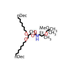 CCCCCCCCCCCCCCCCCCOCC(OCCCCCCCCCCCCCCCCCC)C(C)OC(=O)NCCC(C)(CC)OCC(C)(C)OC